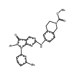 CC(C)n1c(=O)c2cnc(Nc3ccc4c(c3)CCN(C(=O)OC(C)(C)C)C4)nc2n1-c1cccc(C(C)(C)C)n1